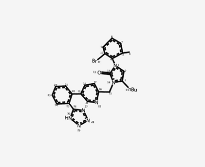 CCCCc1cn(-c2c(C)cccc2Br)c(=O)n1Cc1ccc(-c2ccccc2-c2nnn[nH]2)cn1